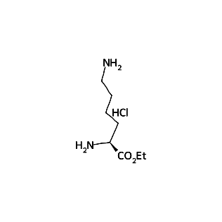 CCOC(=O)[C@@H](N)CCCCN.Cl